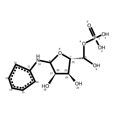 O=P(O)(O)OC(O)[C@H]1OC(Nc2ccccc2)[C@H](O)[C@@H]1O